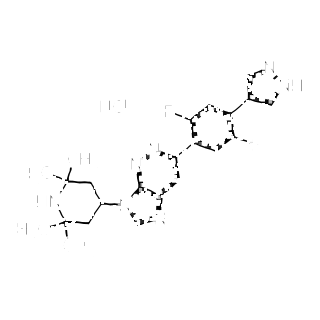 CC1(C)CC(n2cnc3cc(-c4cc(F)c(-c5cn[nH]c5)cc4F)nnc32)CC(C)(C)N1.Cl